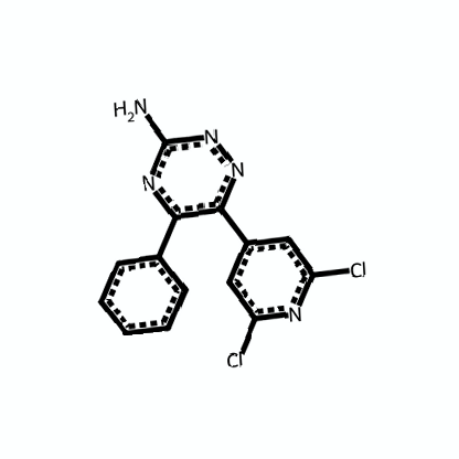 Nc1nnc(-c2cc(Cl)nc(Cl)c2)c(-c2ccccc2)n1